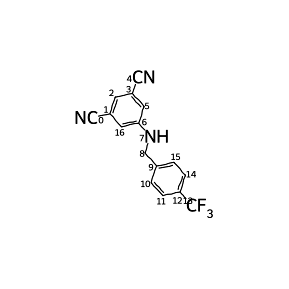 N#Cc1cc(C#N)cc(NCc2ccc(C(F)(F)F)cc2)c1